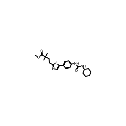 COC(=O)C(C)(C)CCc1ncc(-c2ccc(NC(=O)NC3CCCCC3)cc2)s1